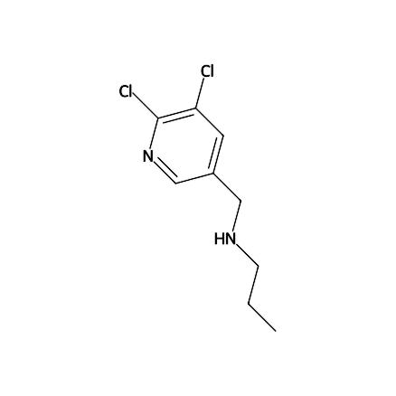 CCCNCc1cnc(Cl)c(Cl)c1